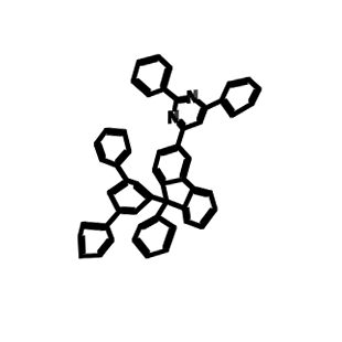 c1ccc(-c2cc(-c3ccccc3)cc(C3(c4ccccc4)c4ccccc4-c4cc(-c5cc(-c6ccccc6)nc(-c6ccccc6)n5)ccc43)c2)cc1